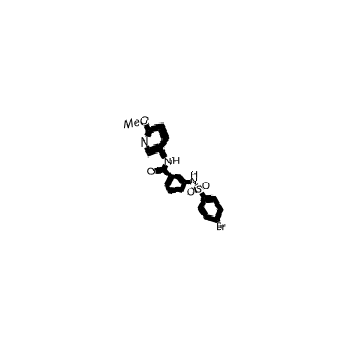 COc1ccc(NC(=O)c2cccc(NS(=O)(=O)c3ccc(Br)cc3)c2)cn1